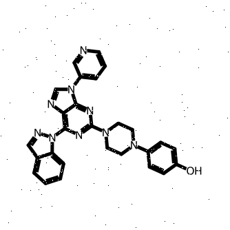 Oc1ccc(N2CCN(c3nc(-n4ncc5ccccc54)c4ncn(-c5cccnc5)c4n3)CC2)cc1